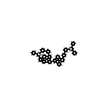 c1ccc(-c2cc(-c3ccccc3)nc(-c3cccc(-c4ccc(-c5cccc6c5-c5ccccc5C65c6ccccc6-c6cc(-c7ccc8c(c7)C7(c9ccccc9-8)c8ccccc8-c8c(-c9cccc(-c%10cccc(-c%11nc(-c%12ccccc%12)cc(-c%12ccccc%12)n%11)c%10)c9)cccc87)ccc65)cc4)c3)n2)cc1